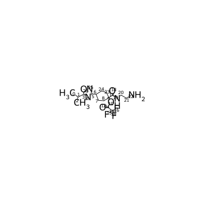 CC(C)c1nc(C2CCC(OC(=O)C(F)(F)F)(C(=O)NCCN)CC2)no1